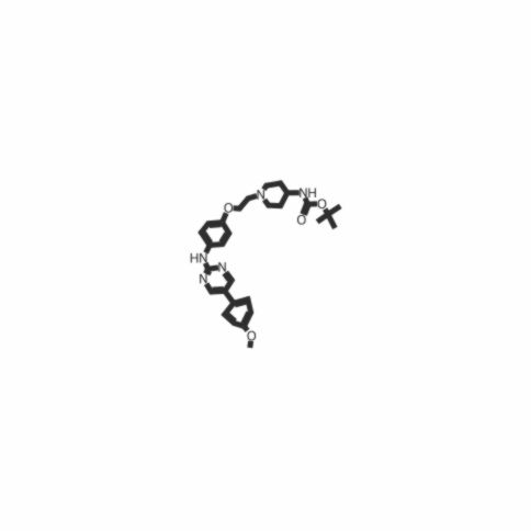 COc1ccc(-c2cnc(Nc3ccc(OCCN4CCC(NC(=O)OC(C)(C)C)CC4)cc3)nc2)cc1